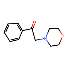 O=C(CN1CCOCC1)c1cc[c]cc1